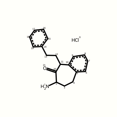 Cl.NC1CCc2ccccc2C(CCc2ccccc2)C1=O